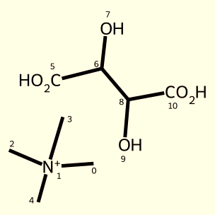 C[N+](C)(C)C.O=C(O)C(O)C(O)C(=O)O